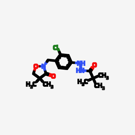 CC(C)(C)C(=O)NNc1ccc(CN2OCC(C)(C)C2=O)c(Cl)c1